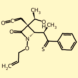 C=CCON1C(=O)[C@](C=C=O)([C@@H](C)O)[C@@H]1[C@@H](C)C(=S)c1ccccc1